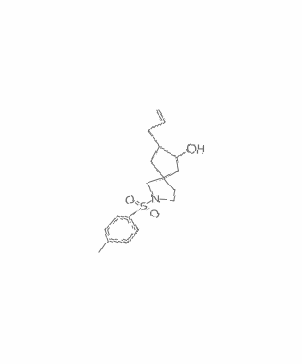 C=CCC1CC2(CCN(S(=O)(=O)c3ccc(C)cc3)C2)CC1O